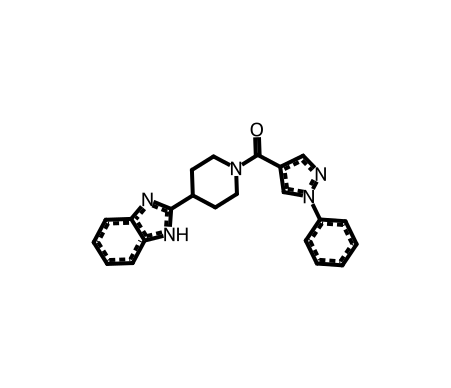 O=C(c1cnn(-c2ccccc2)c1)N1CCC(c2nc3ccccc3[nH]2)CC1